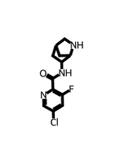 O=C(NC1CC2CNC1C2)c1ncc(Cl)cc1F